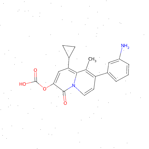 Cc1c(-c2cccc(N)c2)ccn2c(=O)c(OC(=O)O)cc(C3CC3)c12